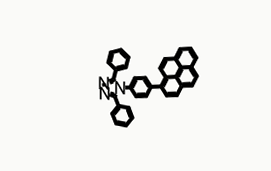 c1ccc(-c2nnc(-c3ccccc3)n2-c2ccc(-c3ccc4ccc5cccc6ccc3c4c56)cc2)cc1